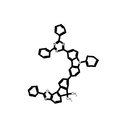 CC1(C)c2cc(-c3ccc4c(c3)c3cc(-c5nc(-c6ccccc6)nc(-c6ccccc6)n5)ccc3n4C3=CC=CCC3)ccc2-c2c1ccc1nc(-c3ccccc3)oc21